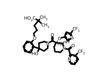 CCC[C@H]1N(C(=O)c2ncccc2C(F)(F)F)CCC[C@@]1(Oc1csc(C(F)(F)F)c1)C(=O)N1CCC(O)(c2ccccc2OCCCC(C)(C)C(=O)O)CC1